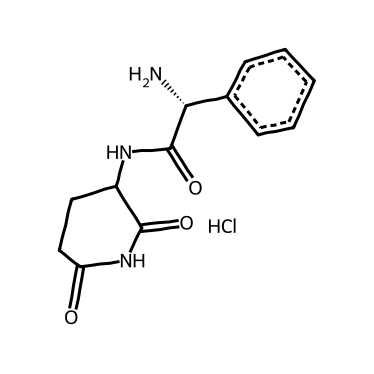 Cl.N[C@@H](C(=O)NC1CCC(=O)NC1=O)c1ccccc1